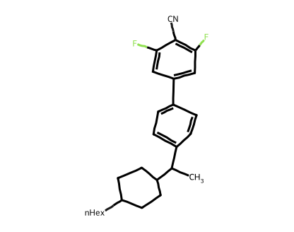 CCCCCCC1CCC(C(C)c2ccc(-c3cc(F)c(C#N)c(F)c3)cc2)CC1